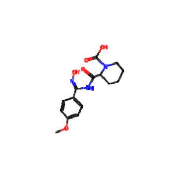 COc1ccc(C(=NO)NC(=O)C2CCCCN2C(=O)O)cc1